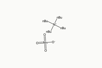 CCCC[N+](CCCC)(CCCC)CCCC.[O]=[Mn](=[O])(=[O])[O-]